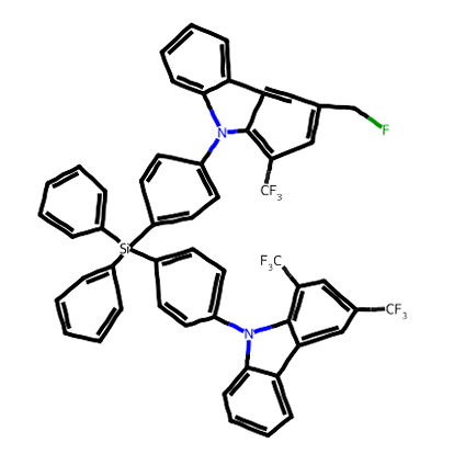 FCc1cc(C(F)(F)F)c2c(c1)c1ccccc1n2-c1ccc([Si](c2ccccc2)(c2ccccc2)c2ccc(-n3c4ccccc4c4cc(C(F)(F)F)cc(C(F)(F)F)c43)cc2)cc1